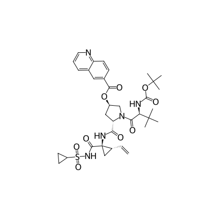 C=C[C@@H]1C[C@]1(NC(=O)[C@@H]1C[C@@H](OC(=O)c2ccc3ncccc3c2)CN1C(=O)[C@@H](NC(=O)OC(C)(C)C)C(C)(C)C)C(=O)NS(=O)(=O)C1CC1